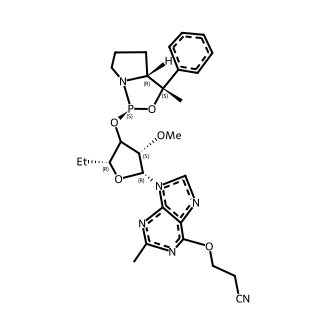 CC[C@H]1O[C@@H](n2cnc3c(OCCC#N)nc(C)nc32)[C@@H](OC)C1O[P@]1O[C@@](C)(c2ccccc2)[C@H]2CCCN21